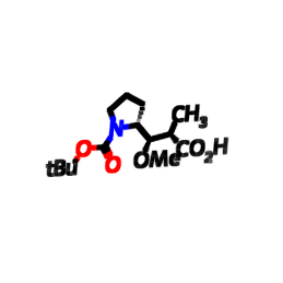 CO[C@@H]([C@H]1CCCN1C(=O)OC(C)(C)C)[C@@H](C)C(=O)O